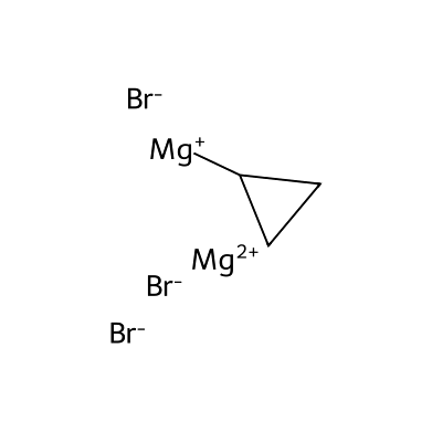 [Br-].[Br-].[Br-].[Mg+2].[Mg+][CH]1CC1